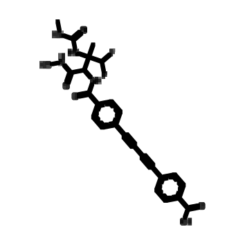 CNC(=O)NC(C)(C(F)F)C(NC(=O)c1ccc(C#CC#Cc2ccc(C(=O)O)cc2)cc1)C(=O)NO